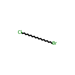 ClCCCCCCCCCCCCCCCCCCCBr